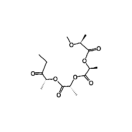 CCC(=O)[C@@H](C)OC(=O)[C@@H](C)OC(=O)[C@H](C)OC(=O)[C@H](C)OC